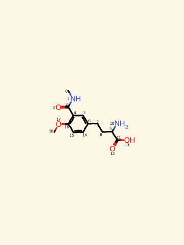 CNC(=O)c1cc(CCC(N)C(=O)O)ccc1OC